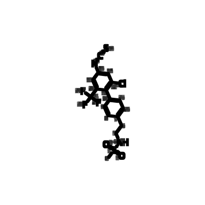 CS(=O)(=O)NCCc1ccc(-c2c(Cl)cc(N=C=S)cc2C(F)(F)F)cc1